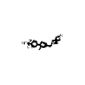 CC(=O)N1CC2(CN(Cc3ccc(-c4ccc(C(O)(C(F)(F)F)C(F)(F)F)cc4)c(C)c3)C2)C1